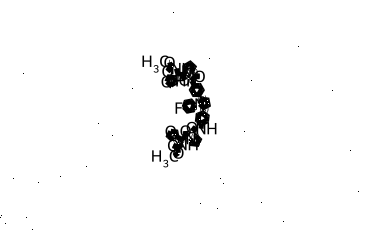 COC(=O)NC(C(=O)N1CCC[C@H]1C(=O)Nc1ccc([C@H]2CC[C@H](c3ccc(NC(=O)[C@@H]4CCCN4C(=O)[C@@H](NC(=O)OC)[C@H]4CCOC4)cc3)N2c2ccc(F)cc2)cc1)[C@H]1CCOC1